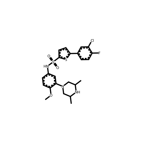 COc1ccc(NS(=O)(=O)c2ccc(-c3ccc(F)c(Cl)c3)s2)cc1N1CC(C)NC(C)C1